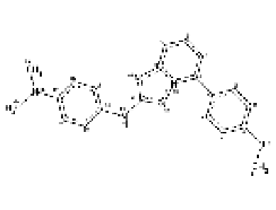 COc1ccc(-c2cccc3nc(Nc4ccc(N(C)C)cc4)nn23)cc1